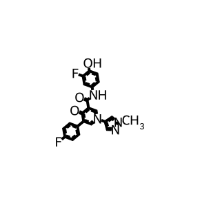 Cn1cc(-n2cc(C(=O)Nc3ccc(O)c(F)c3)c(=O)c(-c3ccc(F)cc3)c2)cn1